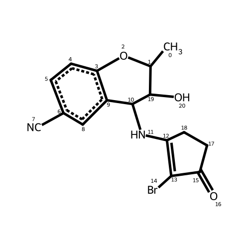 CC1Oc2ccc(C#N)cc2C(NC2=C(Br)C(=O)CC2)C1O